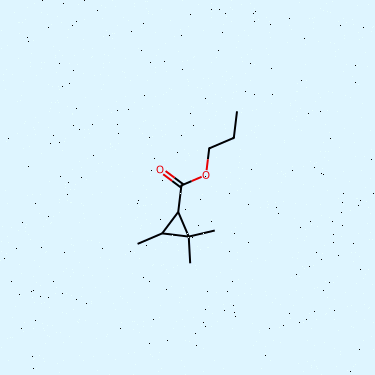 CCCOC(=O)C1C(C)C1(C)C